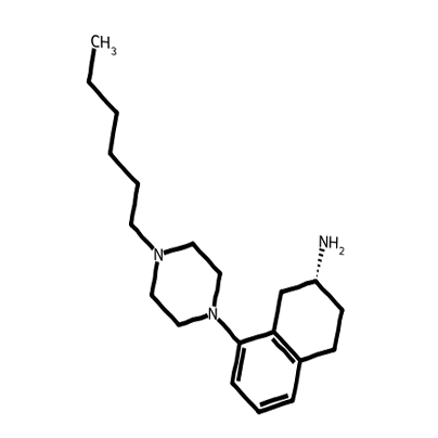 CCCCCCN1CCN(c2cccc3c2C[C@H](N)CC3)CC1